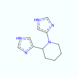 c1nc(C2CCCCN2c2c[nH]cn2)c[nH]1